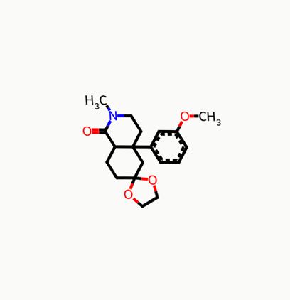 COc1cccc(C23CCN(C)C(=O)C2CCC2(C3)OCCO2)c1